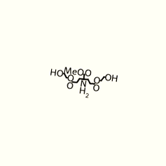 COC(=O)C(N)(CCC(=O)OCCO)CCC(=O)OCCO